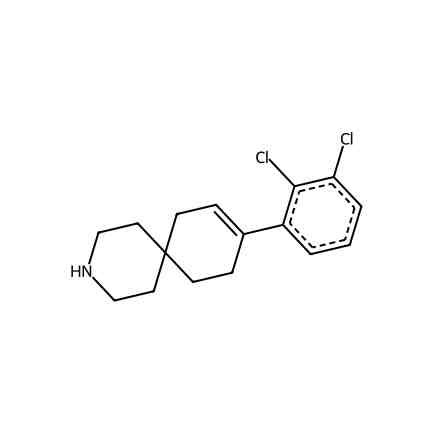 Clc1cccc(C2=CCC3(CCNCC3)CC2)c1Cl